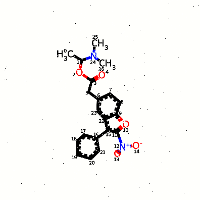 CC(OC(=O)Cc1ccc2oc([N+](=O)[O-])c(-c3ccccc3)c2c1)N(C)C